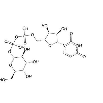 O=c1ccn([C@@H]2O[C@H](COP(=O)(O)OP(=O)(O)O[C@H]3O[C@H](CO)[C@@H](O)[C@@H](O)[C@@H]3O)[C@@H](O)[C@H]2O)c(=O)[nH]1